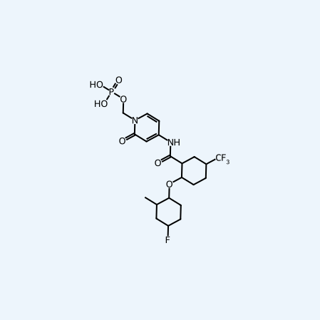 CC1CC(F)CCC1OC1CCC(C(F)(F)F)CC1C(=O)Nc1ccn(COP(=O)(O)O)c(=O)c1